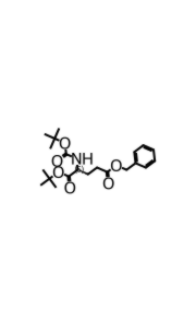 CC(C)(C)OC(=O)N[C@@H](CCC(=O)OCc1ccccc1)C(=O)OC(C)(C)C